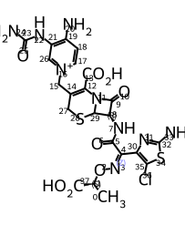 C[C@H](O/N=C(\C(=O)N[C@@H]1C(=O)N2C(C(=O)O)=C(C[n+]3ccc(N)c(NC(N)=O)c3)CSC12)c1nc(N)sc1Cl)C(=O)O